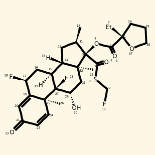 CC[C@@]1(C(=O)O[C@]2(C(=O)SCF)[C@H](C)C[C@H]3[C@@H]4C[C@H](F)C5=CC(=O)C=C[C@]5(C)[C@@]4(F)[C@@H](O)C[C@@]32C)CCCO1